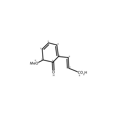 COC1C=CC=C(C=CC(=O)O)C1=O